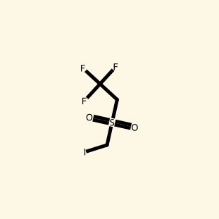 O=S(=O)(CI)CC(F)(F)F